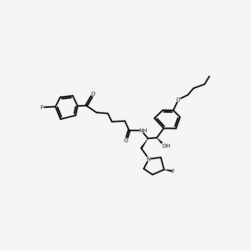 CCCCOc1ccc([C@@H](O)[C@@H](CN2CC[C@H](F)C2)NC(=O)CCCCC(=O)c2ccc(F)cc2)cc1